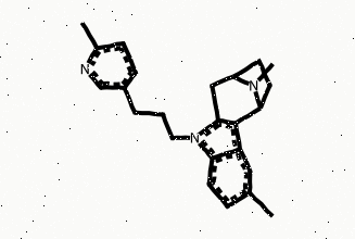 Cc1ccc2c(c1)c1c(n2CCCc2ccc(C)nc2)CC2CCC1N2C